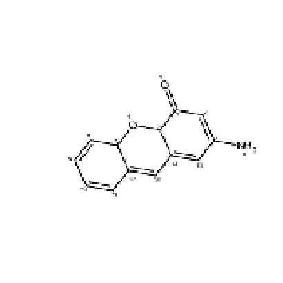 NC1=CC(=O)C2OC3C=CC=CC3=CC2=C1